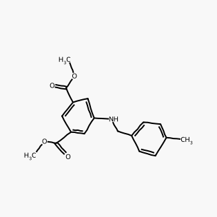 COC(=O)c1cc(NCc2ccc(C)cc2)cc(C(=O)OC)c1